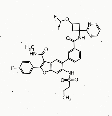 CCCS(=O)(=O)Nc1cc2oc(-c3ccc(F)cc3)c(C(=O)NC)c2cc1-c1cccc(C(=O)NC2(c3ncccn3)CC(OC(F)F)C2)c1